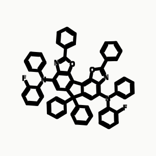 Fc1ccccc1N(c1ccccc1)c1cc2c(c3oc(-c4ccccc4)nc13)-c1c(cc(N(c3ccccc3)c3ccccc3F)c3nc(-c4ccccc4)oc13)C2(c1ccccc1)c1ccccc1